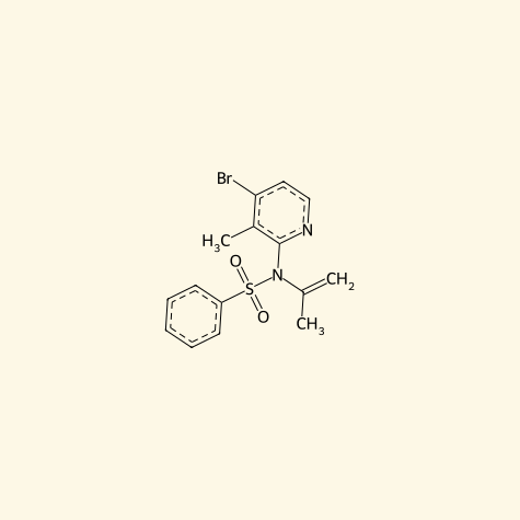 C=C(C)N(c1nccc(Br)c1C)S(=O)(=O)c1ccccc1